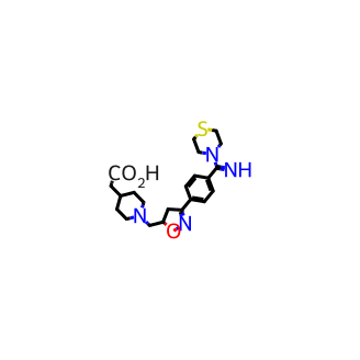 N=C(c1ccc(C2=NOC(CN3CCC(CC(=O)O)CC3)C2)cc1)N1CCSCC1